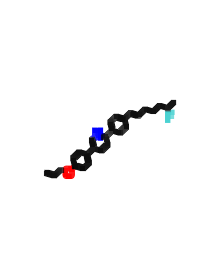 C=CCOc1ccc(-c2ccc(-c3ccc(/C=C/CCCC(C)F)cc3)nc2)cc1